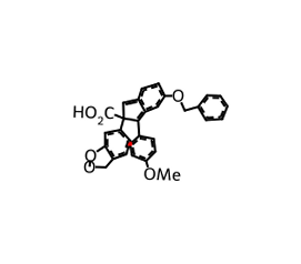 COc1ccc(C2=c3cc(OCc4ccccc4)ccc3=CC2(C(=O)O)c2ccc3c(c2)OOC3)cc1